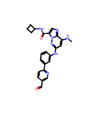 CNc1cc(Nc2cccc(-c3ccc(C=O)cn3)c2)nn2c(C(=O)NC3CCC3)cnc12